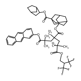 CC(C)(CC(C)(CC(C)(C)C(=O)Oc1ccc2cc3ccccc3cc2c1)C(=O)OC12CC3CC(C1)CC(C(=O)OC1CC4CCC1C4)(C3)C2)C(=O)OCC(C(F)(F)F)C(F)(F)F